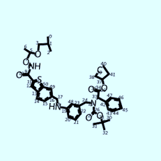 CC(C)COC(C)ONC(=O)c1cc2ccc(CNc3cccc(CN(C(=O)OC(C)(C)C)[C@H](C(=O)OC4CCCC4)c4ccccc4)c3)cc2s1